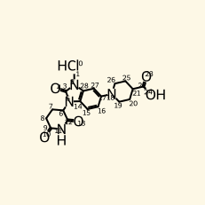 Cl.Cn1c(=O)n(C2CCC(=O)NC2=O)c2ccc(N3CCC(C(=O)O)CC3)cc21